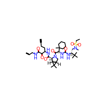 C#CCCC(NC(=O)[C@@H]1[C@@H]2[C@H](CN1C(=O)[C@@H](NC(=O)N[C@H](CN(C)S(=O)(=O)CC)C(C)(C)C)C1(C)CCCCC1)C2(C)C)C(=O)C(=O)NCC=C